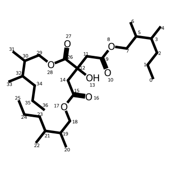 CCCC(C)C(C)COC(=O)CC(O)(CC(=O)OCC(C)C(C)CCC)C(=O)OCC(C)C(C)CCC